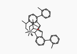 [CH2]=[Hf]([CH3])([CH3])([CH2]C(C)C)([CH2]C(C)C)([CH]1C=Cc2c(-c3ccccc3C)cccc21)[CH]1C=Cc2c(-c3ccccc3C)cccc21